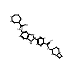 O=C(NC1CCC2CCC2C1)c1ccc(-c2nc3cc(NC(=O)C4CCCCCC4)ccc3[nH]2)cc1